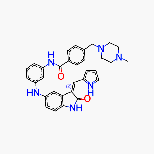 CN1CCN(Cc2ccc(C(=O)Nc3cccc(Nc4ccc5c(c4)/C(=C/c4ccc[nH]4)C(=O)N5)c3)cc2)CC1